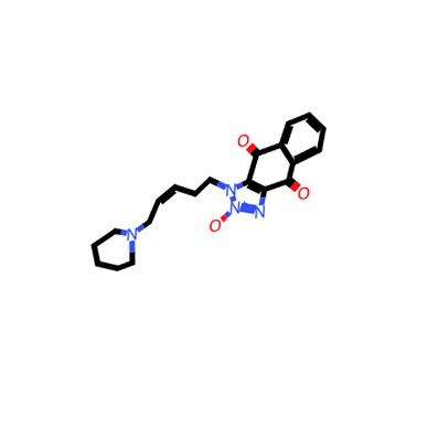 O=C1c2ccccc2C(=O)c2c1n[n+]([O-])n2CC/C=C\CN1CCCCC1